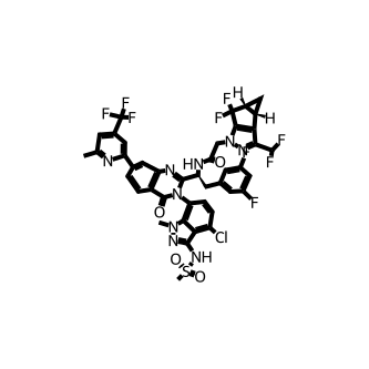 Cc1cc(C(F)(F)F)cc(-c2ccc3c(=O)n(-c4ccc(Cl)c5c(NS(C)(=O)=O)nn(C)c45)c([C@H](Cc4cc(F)cc(F)c4)NC(=O)Cn4nc(C(F)F)c5c4C(F)(F)[C@@H]4C[C@H]54)nc3c2)n1